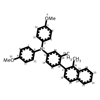 COc1ccc(N(c2ccc(OC)cc2)c2ccc(-c3ccc4ccccc4c3C)c(C)c2)cc1